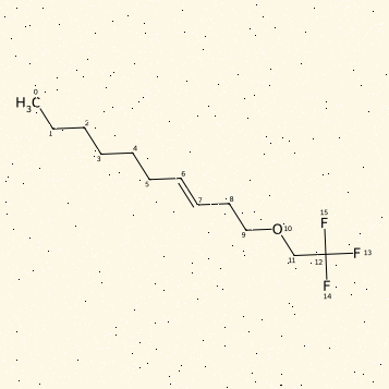 CCCCCC/C=C/CCOCC(F)(F)F